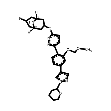 COCOc1cc(-c2cnn(C3CCCCO3)c2)ccc1-c1ccc(OC2C[C@H]3CC(F)C[C@@H](C2)N3)nn1